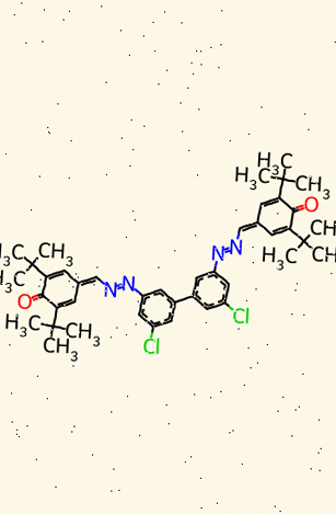 CC(C)(C)C1=CC(=C/N=N/c2cc(Cl)cc(-c3cc(Cl)cc(/N=N/C=C4C=C(C(C)(C)C)C(=O)C(C(C)(C)C)=C4)c3)c2)C=C(C(C)(C)C)C1=O